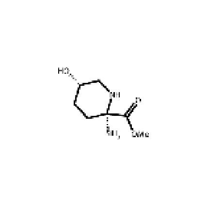 COC(=O)[C@@]1([SiH3])CC[C@H](O)CN1